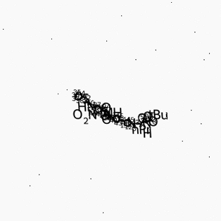 CCCC(CCC(=O)NC(=O)OC(C)(C)C)N1CC=C(c2ccc(C(=O)NS(=O)(=O)c3ccc(NCCSc4ccccc4)c([N+](=O)[O-])c3)cc2)CC1